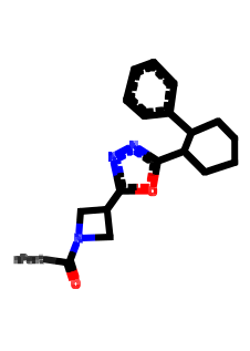 CCCCCC(=O)N1CC(c2nnc(C3CCCCC3c3ccccc3)o2)C1